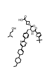 CCC1CCC(C2CC=C(c3cnc(-c4ccc(C[C@H](NC(=O)c5ccc(C(C)(C)C)s5)C(=O)N5CC(C(=O)O)C5)cc4)nc3)CC2)CC1.CN(C)CCO